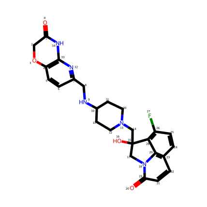 O=C1COc2ccc(CNC3CCN(CC4(O)Cn5c(=O)ccc6ccc(F)c4c65)CC3)nc2N1